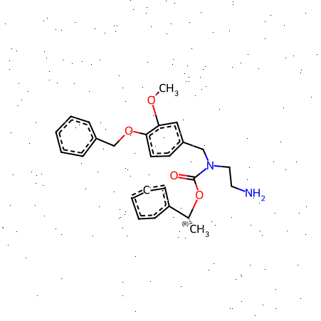 COc1cc(CN(CCN)C(=O)O[C@H](C)c2ccccc2)ccc1OCc1ccccc1